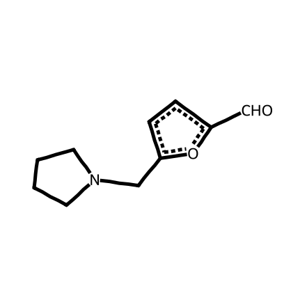 O=Cc1ccc(CN2CCCC2)o1